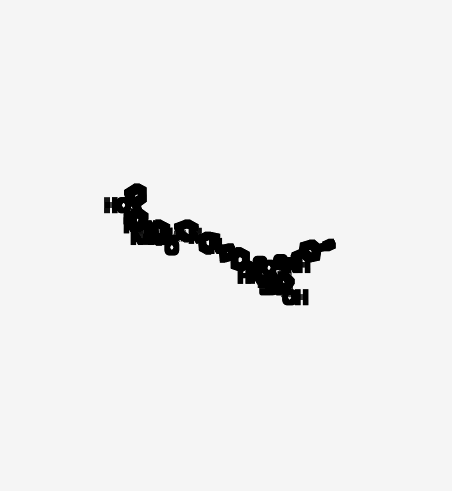 C#Cc1ccc(CNC(=O)[C@@H]2C[C@@H](O)CN2C(=O)[C@@H](NC(=O)C2CCC3(CC2)CC(N2CCC(N4CCC[C@H](C(=O)N5CCN(c6cc(-c7ccccc7O)nnc6NC)CC5)C4)CC2)C3)C(C)(C)C)cc1